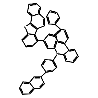 c1ccc(-c2ccc(-c3ccccc3N(c3ccc(-c4ccc5ccccc5c4)cc3)c3cccc(-c4cccc5oc6c7ccccc7ccc6c45)c3)cc2)cc1